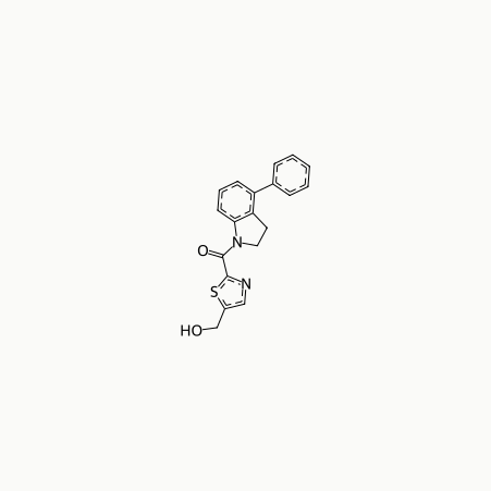 O=C(c1ncc(CO)s1)N1CCc2c(-c3ccccc3)cccc21